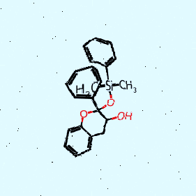 C[Si](C)(OC1(c2ccccc2)Oc2ccccc2CC1O)c1ccccc1